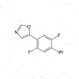 CC(C)c1cc(F)c(-c2cnco2)cc1F